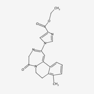 CCOC(=O)c1cn(C2=NCC(=O)N3CCc4c(C)cccc4C3=C2)cn1